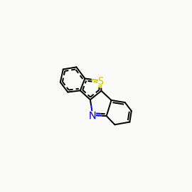 C1=CCC2=Nc3c(sc4ccccc34)C2=C1